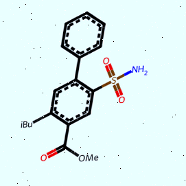 CCC(C)c1cc(-c2ccccc2)c(S(N)(=O)=O)cc1C(=O)OC